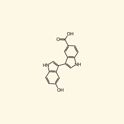 O=C(O)c1ccc2[nH]cc(-c3c[nH]c4ccc(O)cc34)c2c1